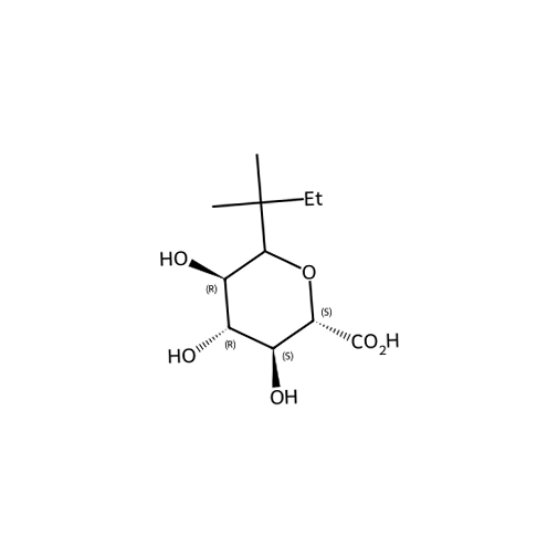 CCC(C)(C)C1O[C@H](C(=O)O)[C@@H](O)[C@H](O)[C@H]1O